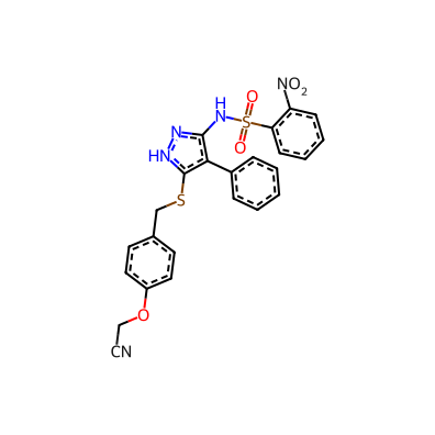 N#CCOc1ccc(CSc2[nH]nc(NS(=O)(=O)c3ccccc3[N+](=O)[O-])c2-c2ccccc2)cc1